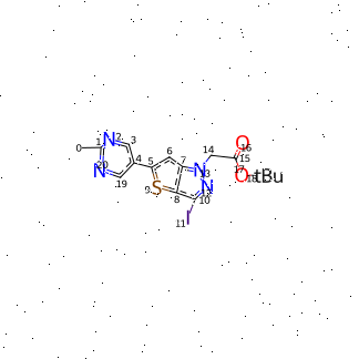 Cc1ncc(-c2cc3c(s2)c(I)nn3CC(=O)OC(C)(C)C)cn1